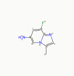 Cc1cnc2c(F)cc(N)cn12